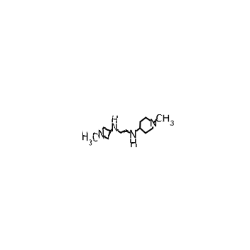 CN1CCC(NCCNC2CN(C)C2)CC1